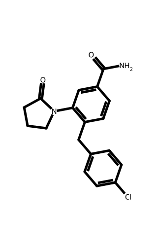 NC(=O)c1ccc(Cc2ccc(Cl)cc2)c(N2CCCC2=O)c1